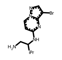 CC(C)C(CN)Nc1ccn2ncc(Br)c2n1